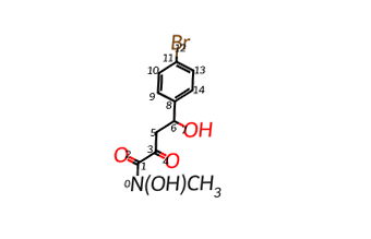 CN(O)C(=O)C(=O)CC(O)c1ccc(Br)cc1